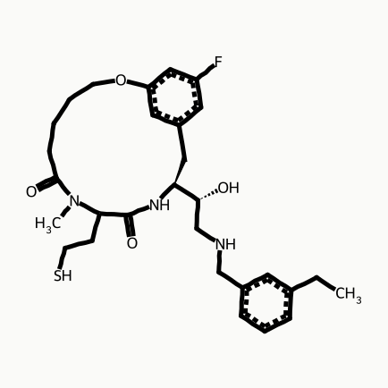 CCc1cccc(CNC[C@@H](O)[C@@H]2Cc3cc(F)cc(c3)OCCCCC(=O)N(C)C(CCS)C(=O)N2)c1